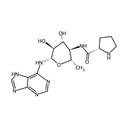 C[C@@H]1O[C@H](Nc2ncnc3nc[nH]c23)[C@@H](O)[C@H](O)[C@H]1NC(=O)[C@@H]1CCCN1